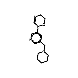 C1=NCCON1c1cncc(CN2CCCCC2)c1